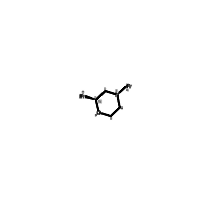 CC(C)[C@H]1CN(C(C)C)CCO1